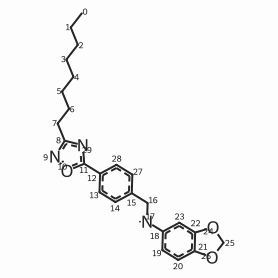 CCCCCCCCc1noc(-c2ccc(C[N]c3ccc4c(c3)OCO4)cc2)n1